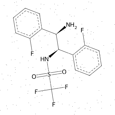 N[C@H](c1ccccc1F)[C@H](NS(=O)(=O)C(F)(F)F)c1ccccc1F